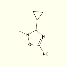 [C-]#[N+]C1=NC(C2CC2)N(C)O1